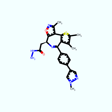 Cc1noc2c1-c1sc(C)c(C)c1C(c1ccc(-c3cnn(C)c3)cc1)=N[C@H]2CC(=O)NN